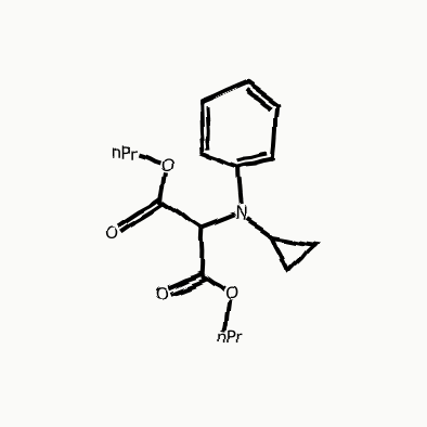 CCCOC(=O)C(C(=O)OCCC)N(c1ccccc1)C1CC1